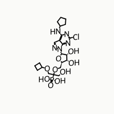 O=P(O)(O)C(CO)(COC1CCC1)OC[C@H]1O[C@@H](n2ncc3c(NC4CCCC4)nc(Cl)nc32)[C@H](O)[C@@H]1O